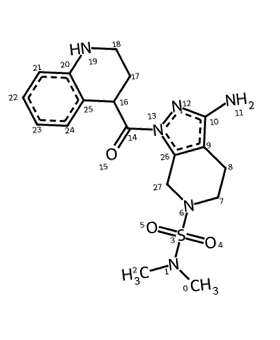 CN(C)S(=O)(=O)N1CCc2c(N)nn(C(=O)C3CCNc4ccccc43)c2C1